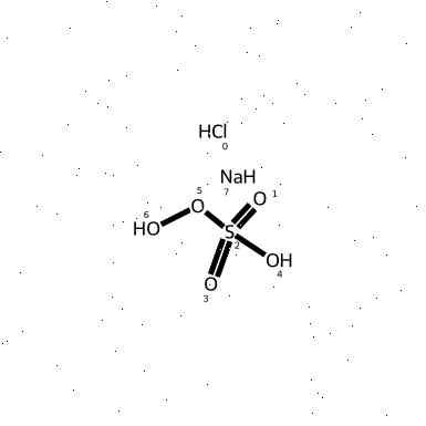 Cl.O=S(=O)(O)OO.[NaH]